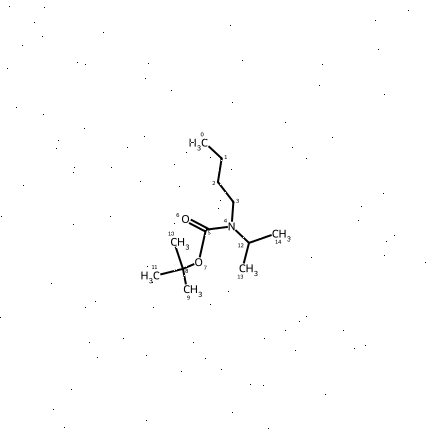 CCCCN(C(=O)OC(C)(C)C)C(C)C